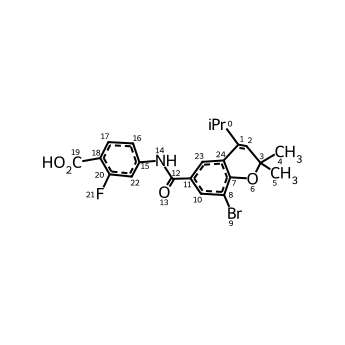 CC(C)C1=CC(C)(C)Oc2c(Br)cc(C(=O)Nc3ccc(C(=O)O)c(F)c3)cc21